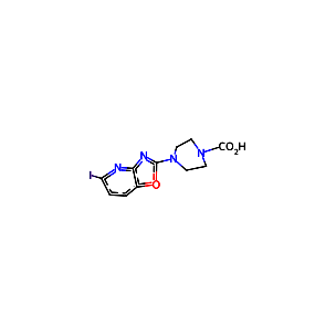 O=C(O)N1CCN(c2nc3nc(I)ccc3o2)CC1